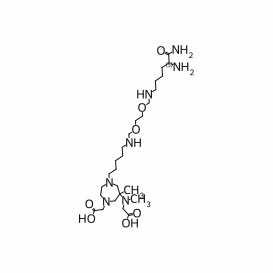 CN(CC(=O)O)C1(C)CN(CCCCCNCOCCOCNCCCC[C@H](N)C(N)=O)CCN(CC(=O)O)C1